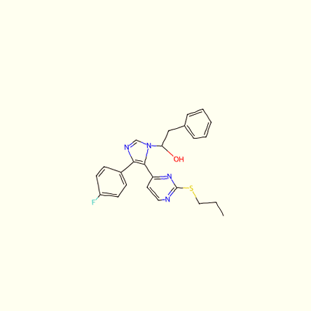 CCCSc1nccc(-c2c(-c3ccc(F)cc3)ncn2C(O)Cc2ccccc2)n1